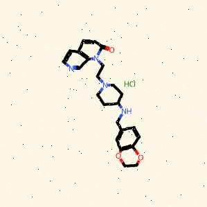 Cl.O=c1ccc2ccncc2n1CCN1CCC(NCc2ccc3c(c2)OCCO3)CC1